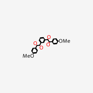 COc1ccc(C(=O)C(=O)c2cccc(C(=O)C(=O)c3ccc(OC)cc3)c2)cc1